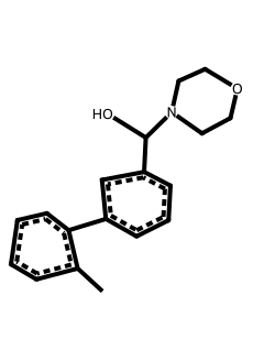 Cc1ccccc1-c1cccc(C(O)N2CCOCC2)c1